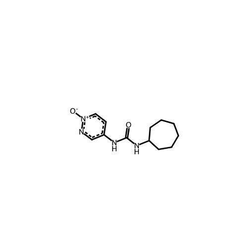 O=C(Nc1cc[n+]([O-])nc1)NC1CCCCCC1